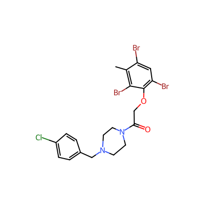 Cc1c(Br)cc(Br)c(OCC(=O)N2CCN(Cc3ccc(Cl)cc3)CC2)c1Br